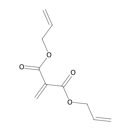 C=CCOC(=O)C(=C)C(=O)OCC=C